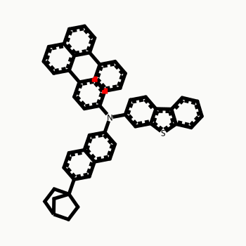 c1ccc(-c2cccc3cccc(-c4ccc(N(c5ccc6cc(C78CCC(CC7)C8)ccc6c5)c5ccc6c(c5)sc5ccccc56)cc4)c23)cc1